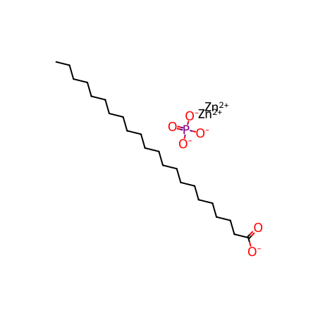 CCCCCCCCCCCCCCCCCCCCCC(=O)[O-].O=P([O-])([O-])[O-].[Zn+2].[Zn+2]